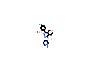 CN1CCCC(Nc2nnc(-c3ccc(Cl)cc3O)c3c2CCOC3)C1